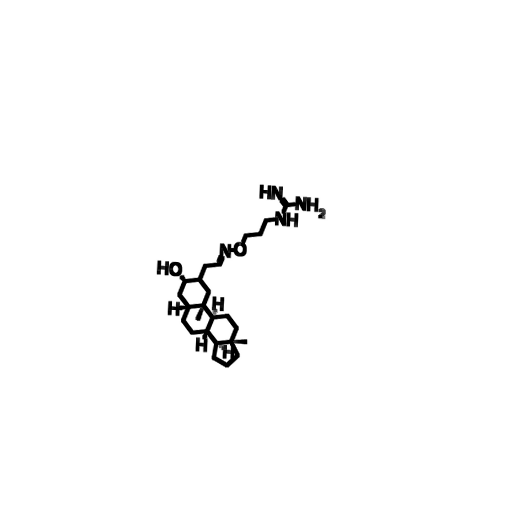 C[C@@]12CCC[C@H]1[C@@H]1CC[C@@H]3C[C@@H](O)C(CC=NOCCCNC(=N)N)C[C@]3(C)[C@H]1CC2